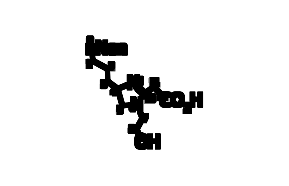 CCCCCCCCCCCCC1CN(CCO)C(CC(=O)O)=N1